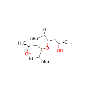 CCCCC(CC)C(CC(C)O)OC(CC(C)O)C(CC)CCCC